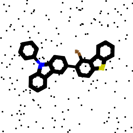 Brc1c(-c2ccc3c(c2)c2ccccc2n3-c2ccccc2)ccc2sc3ccccc3c12